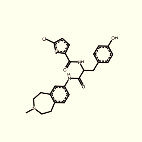 CN1CCc2ccc(NC(=O)C(Cc3ccc(O)cc3)NC(=O)c3ccc(Cl)s3)cc2CC1